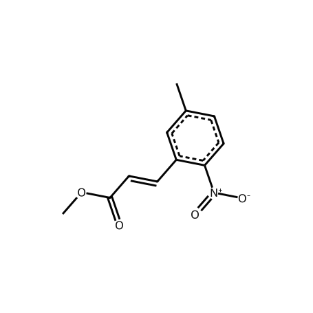 COC(=O)C=Cc1cc(C)ccc1[N+](=O)[O-]